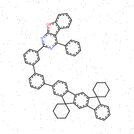 c1ccc(-c2nc(-c3cccc(-c4cccc(-c5ccc6c(c5)C5(CCCCC5)c5cc7c(cc5-6)C5(CCCCC5)c5ccccc5-7)c4)c3)nc3oc4ccccc4c23)cc1